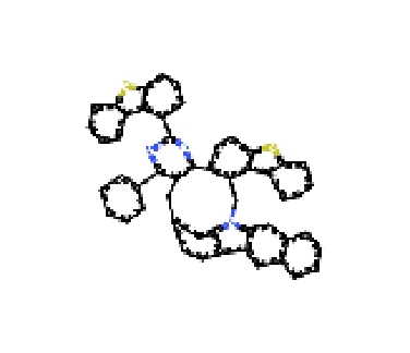 c1ccc(-c2nc(-c3cccc4sc5ccccc5c34)nc3c2Cc2ccc4c5cc6ccccc6cc5n(c4c2)Cc2c-3ccc3sc4ccccc4c23)cc1